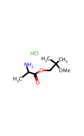 COC(C)(C)COC(=O)C(C)N.Cl